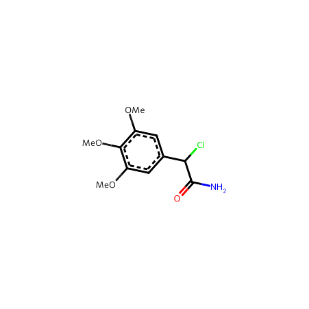 COc1cc(C(Cl)C(N)=O)cc(OC)c1OC